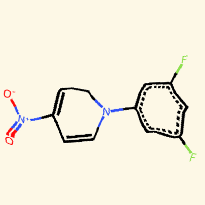 O=[N+]([O-])C1=CCN(c2cc(F)cc(F)c2)C=C1